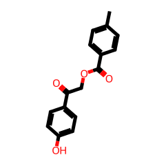 Cc1ccc(C(=O)OCC(=O)c2ccc(O)cc2)cc1